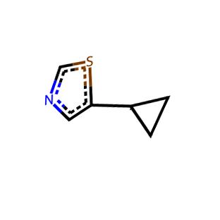 c1ncc([C]2CC2)s1